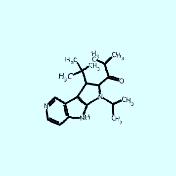 CC(C)C(=O)C1C(C(C)(C)C)C2c3cnccc3NC2N1C(C)C